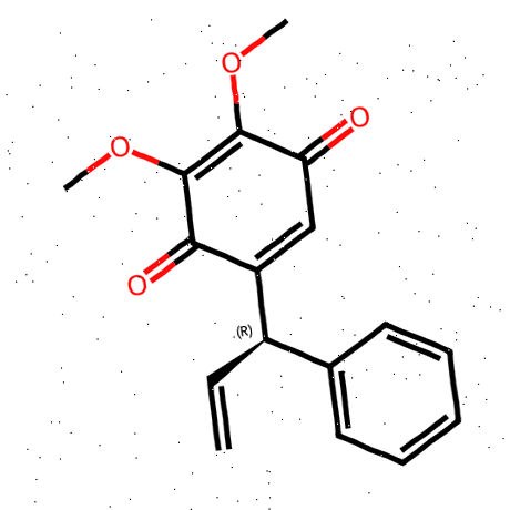 C=C[C@@H](C1=CC(=O)C(OC)=C(OC)C1=O)c1ccccc1